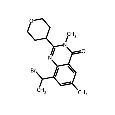 Cc1cc(C(C)Br)c2nc(C3CCOCC3)n(C)c(=O)c2c1